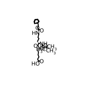 CC(C)(C)OC(=O)N[C@@H](CCCCNC(=O)OCc1ccccc1)C(=O)NCCCCCC(=O)O